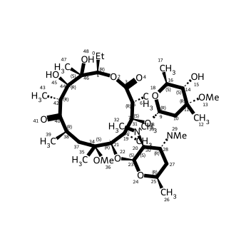 CC[C@H]1OC(=O)[C@H](C)[C@@H](O[C@H]2C[C@@](C)(OC)[C@@H](O)[C@H](C)O2)[C@H](C)[C@@H](O[C@@H]2O[C@H](C)C[C@@H](NC)[C@@H]2N(C)C)[C@@](C)(OC)C[C@@H](C)C(=O)[C@H](C)[C@@H](O)[C@]1(C)O